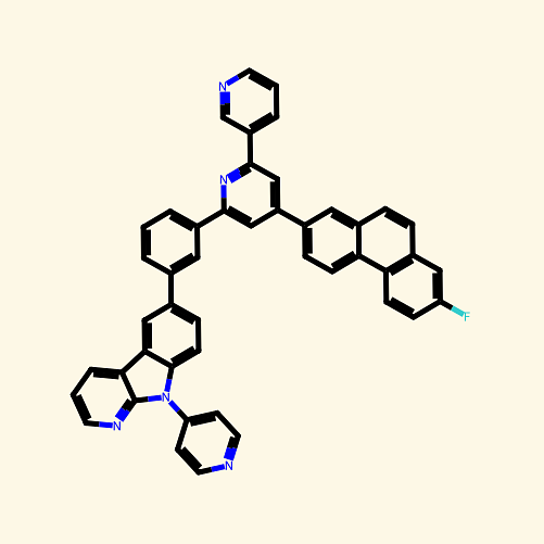 Fc1ccc2c(ccc3cc(-c4cc(-c5cccnc5)nc(-c5cccc(-c6ccc7c(c6)c6cccnc6n7-c6ccncc6)c5)c4)ccc32)c1